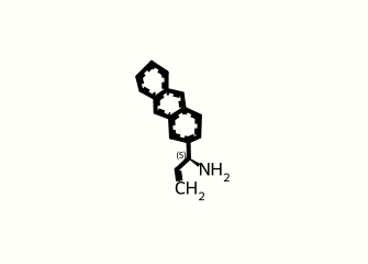 C=C[C@H](N)c1ccc2cc3ccccc3cc2c1